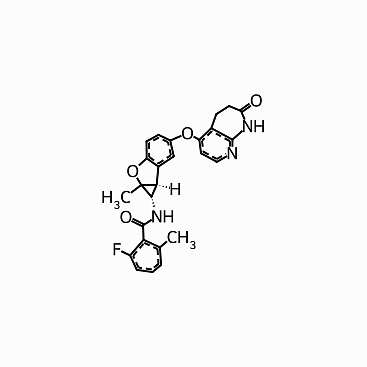 Cc1cccc(F)c1C(=O)N[C@H]1[C@@H]2c3cc(Oc4ccnc5c4CCC(=O)N5)ccc3OC12C